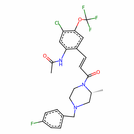 CC(=O)Nc1cc(Cl)c(OC(F)(F)F)cc1/C=C/C(=O)N1CCN(Cc2ccc(F)cc2)C[C@H]1C